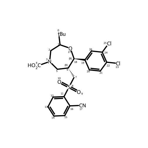 CC(C)(C)C1CN(C(=O)O)C[C@@H](CS(=O)(=O)c2ccccc2C#N)[C@H](c2ccc(Cl)c(Cl)c2)O1